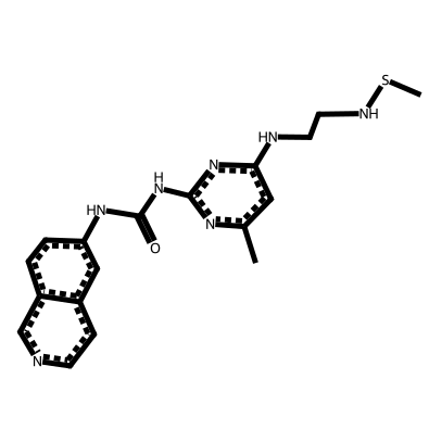 CSNCCNc1cc(C)nc(NC(=O)Nc2ccc3cnccc3c2)n1